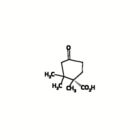 CC1(C)CC(=O)CC[C@]1(C)C(=O)O